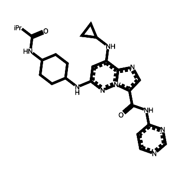 CC(C)C(=O)NC1CCC(Nc2cc(NC3CC3)c3ncc(C(=O)Nc4ccncn4)n3n2)CC1